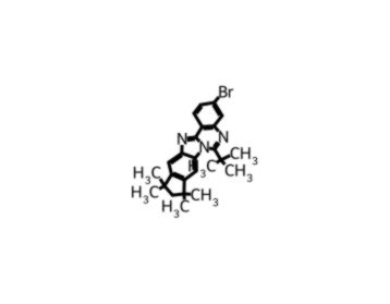 CC(C)(C)c1nc2cc(Br)ccc2c2nc3cc4c(cc3n12)C(C)(C)CC4(C)C